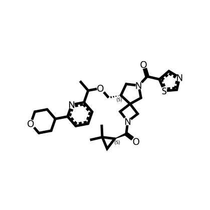 CC(OC[C@@H]1CN(C(=O)c2cncs2)CC12CN(C(=O)[C@H]1CC1(C)C)C2)c1cccc(C2CCOCC2)n1